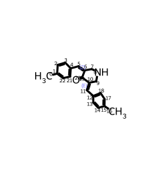 Cc1ccc(/C=C2/CNC/C(=C\c3ccc(C)cc3)C2=O)cc1